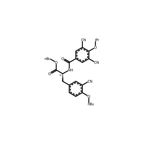 CCCCOC(=O)[C@H](Cc1ccc(OCCCC)c(C#N)c1)NC(=O)c1cc(C#N)c(OC(C)C)c(C#N)c1